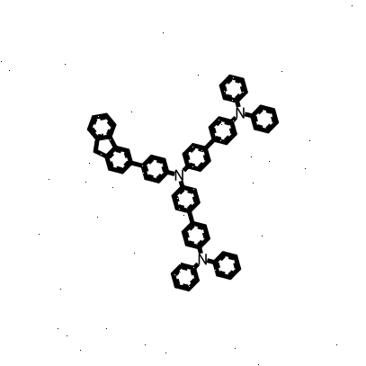 c1ccc(N(c2ccccc2)c2ccc(-c3ccc(N(c4ccc(-c5ccc(N(c6ccccc6)c6ccccc6)cc5)cc4)c4ccc(-c5ccc6c(c5)-c5ccccc5C6)cc4)cc3)cc2)cc1